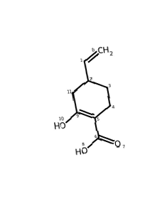 C=CC1CCC(C(=O)O)=C(O)C1